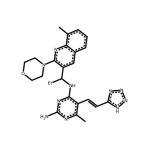 CCC(Nc1nc(N)nc(C)c1/C=C/c1nnn[nH]1)c1cc2cccc(C)c2nc1N1CCOCC1